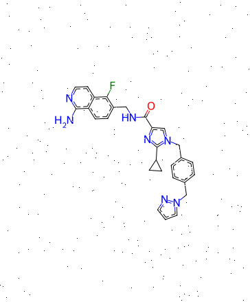 Nc1nccc2c(F)c(CNC(=O)c3cn(Cc4ccc(Cn5cccn5)cc4)c(C4CC4)n3)ccc12